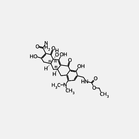 CCOC(=O)NCc1cc(N(C)C)c2c(c1O)C(=O)C1=C(O)[C@]3(O)C(=O)C(C(N)=O)=C(O)C[C@@H]3C[C@@H]1C2